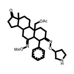 CON=C1CC2C3CCC(=O)C3(C)CCC2C2(COC(C)=O)CCC(=NOC3CCNC3)C(c3ccccc3)C12